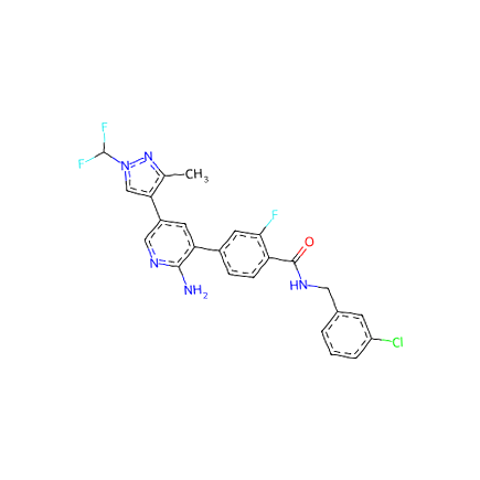 Cc1nn(C(F)F)cc1-c1cnc(N)c(-c2ccc(C(=O)NCc3cccc(Cl)c3)c(F)c2)c1